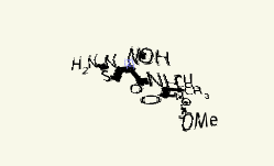 COSON1C(=O)C(NC(=O)/C(=N\O)c2csc(N)n2)C1(C)C